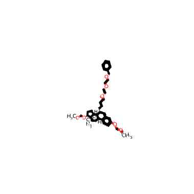 COCOc1ccc2c(c1)C[C@@H](CCCCOCCOCCOCc1ccccc1)[C@@H]1[C@@H]2CC[C@]2(C)[C@@H](OCOC)CC[C@@H]12